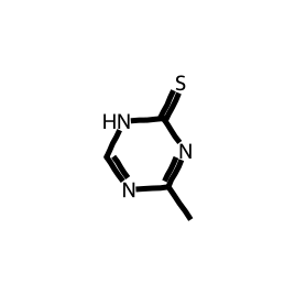 Cc1nc[nH]c(=S)n1